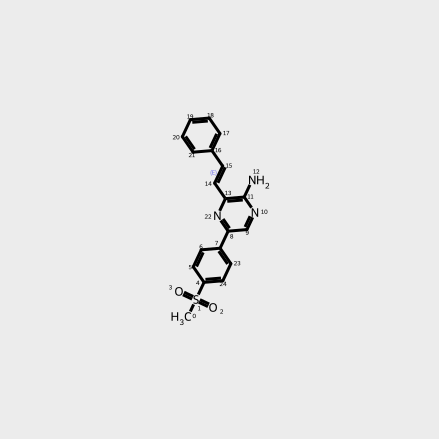 CS(=O)(=O)c1ccc(-c2cnc(N)c(/C=C/c3ccccc3)n2)cc1